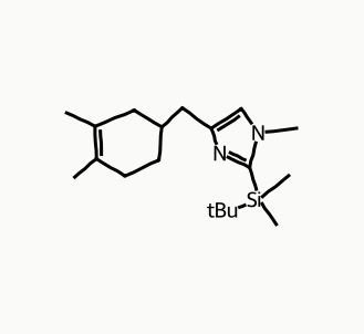 CC1=C(C)CC(Cc2cn(C)c([Si](C)(C)C(C)(C)C)n2)CC1